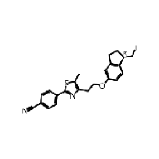 Cc1sc(-c2ccc(C#N)cc2)nc1CCOc1ccc2c(c1)CC[C@H]2CI